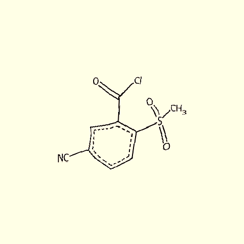 CS(=O)(=O)c1ccc(C#N)cc1C(=O)Cl